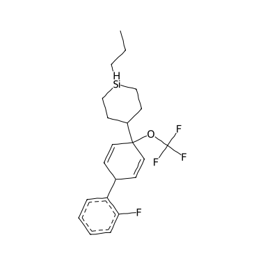 CCC[SiH]1CCC(C2(OC(F)(F)F)C=CC(c3ccccc3F)C=C2)CC1